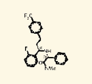 CNC(=O)[C@H](N[C@H](CCc1ccc(C(F)(F)F)cc1)c1ccccc1F)c1ccccc1